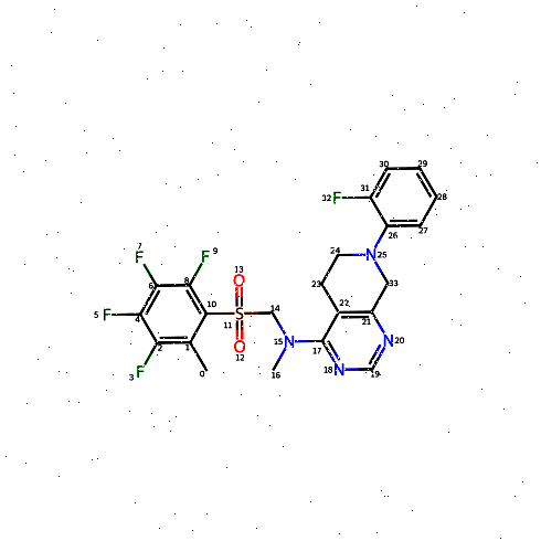 Cc1c(F)c(F)c(F)c(F)c1S(=O)(=O)CN(C)c1ncnc2c1CCN(c1ccccc1F)C2